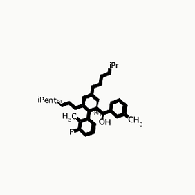 CCC[C@H](C)CCCC1CC(CCCCC(C)C)C[C@@H]([C@H](O)C2CCC=C(C)C2)C1C1C=CCC(F)C1C